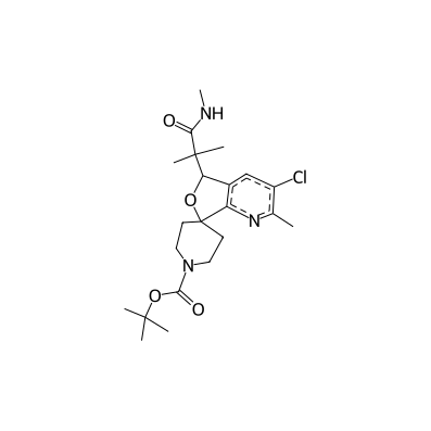 CNC(=O)C(C)(C)C1OC2(CCN(C(=O)OC(C)(C)C)CC2)c2nc(C)c(Cl)cc21